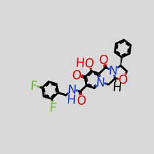 O=C(NCc1ccc(F)cc1F)c1cn2c(c(O)c1=O)C(=O)N1[C@@H](c3ccccc3)CO[C@@H]1C2